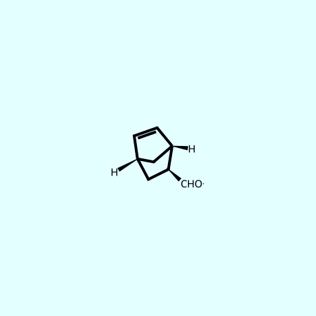 O=[C][C@H]1C[C@@H]2C=C[C@H]1C2